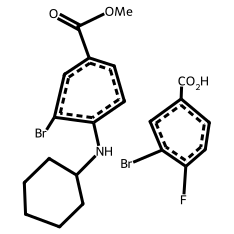 COC(=O)c1ccc(NC2CCCCC2)c(Br)c1.O=C(O)c1ccc(F)c(Br)c1